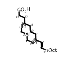 CC(C)[CH2][Al][CH2]C(C)C.CCCCCCCCC=CCCCCCCCC(=O)O